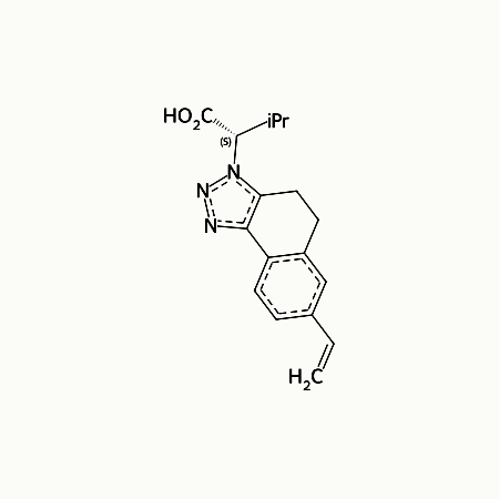 C=Cc1ccc2c(c1)CCc1c-2nnn1[C@H](C(=O)O)C(C)C